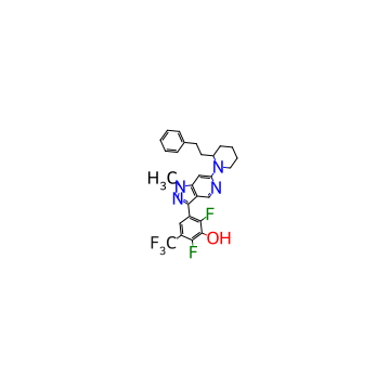 Cn1nc(-c2cc(C(F)(F)F)c(F)c(O)c2F)c2cnc(N3CCCCC3CCc3ccccc3)cc21